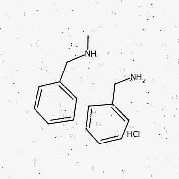 CNCc1ccccc1.Cl.NCc1ccccc1